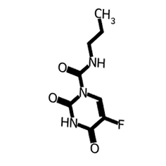 CCCNC(=O)n1cc(F)c(=O)[nH]c1=O